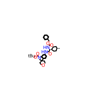 CC(C)(C)OC(=O)N1CC2(CCOCC2)c2ccc(NC(=O)C(NC(=O)OCc3ccccc3)[C@H]3CC[C@H](C)CC3)cc21